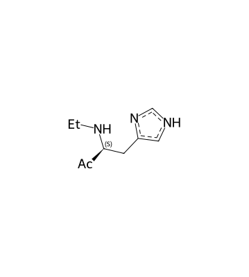 CCN[C@@H](Cc1c[nH]cn1)C(C)=O